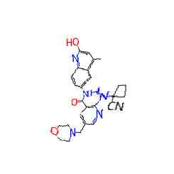 Cc1cc(O)nc2ccc(NC(=O)c3cc(CN4CCOCC4)cnc3N(C)C3(C#N)CCC3)cc12